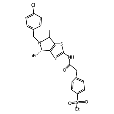 CCS(=O)(=O)c1ccc(CC(=O)Nc2nc3c(s2)C(C)N(Cc2ccc(Cl)cc2)[C@H]3C(C)C)cc1